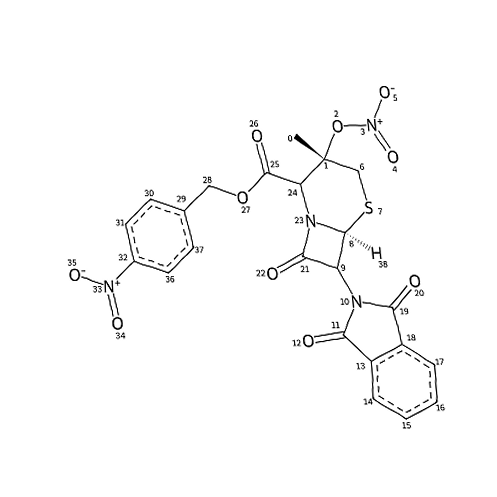 C[C@@]1(O[N+](=O)[O-])CS[C@H]2C(N3C(=O)c4ccccc4C3=O)C(=O)N2C1C(=O)OCc1ccc([N+](=O)[O-])cc1